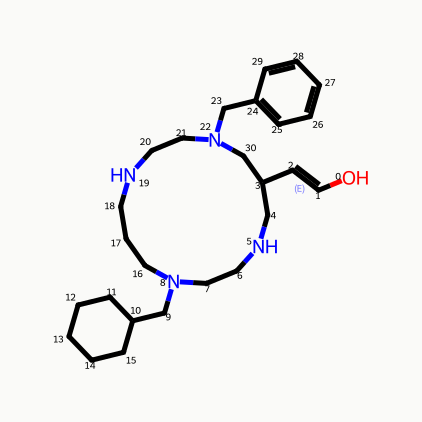 O/C=C/C1CNCCN(CC2CCCCC2)CCCNCCN(Cc2ccccc2)C1